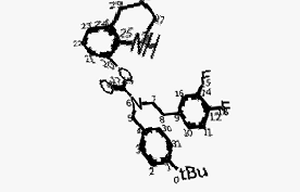 CC(C)(C)c1ccc(CN(CCc2ccc(F)c(F)c2)C(=O)Oc2cccc3c2NCCC3)cc1